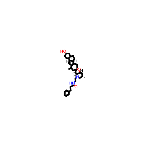 CC1=C2C[C@H]3[C@@H](CC=C4C[C@@H](O)CC[C@@]43C)[C@@H]2CC[C@@]2(C1)O[C@@H]1C[C@H](C)CN(CCNC(=O)CCc3ccccc3)[C@H]1[C@H]2C